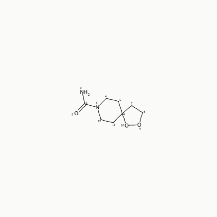 NC(=O)N1CCC2(CCOO2)CC1